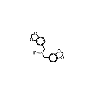 CC(C)N(Cc1ccc2c(c1)OCO2)Cc1ccc2c(c1)OCO2